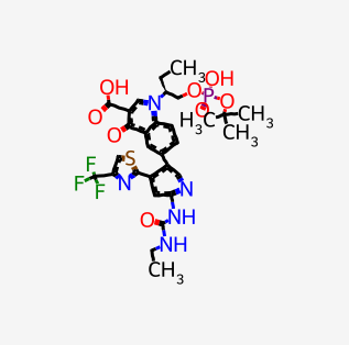 CCNC(=O)Nc1cc(-c2nc(C(F)(F)F)cs2)c(-c2ccc3c(c2)c(=O)c(C(=O)O)cn3[C@@H](CC)COP(=O)(O)OC(C)(C)C)cn1